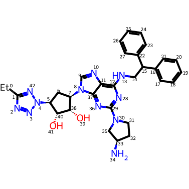 CCc1nnn([C@H]2C[C@@H](n3cnc4c(NCC(c5ccccc5)c5ccccc5)nc(N5CC[C@@H](N)C5)nc43)[C@H](O)[C@@H]2O)n1